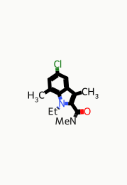 CCn1c(C(=O)NC)c(C)c2cc(Cl)cc(C)c21